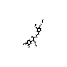 C#CCOc1ccc(CCNC(=O)C(=NOC)c2ccc(Cl)c(Cl)c2)cc1OC